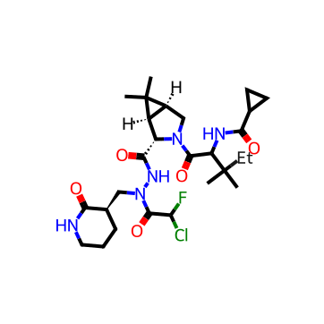 CCC(C)(C)C(NC(=O)C1CC1)C(=O)N1C[C@H]2[C@@H]([C@H]1C(=O)NN(C[C@H]1CCCNC1=O)C(=O)C(F)Cl)C2(C)C